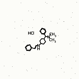 CN(C)C(c1ccccc1)C1CCC(NC=Cc2ccccc2)CC1.Cl